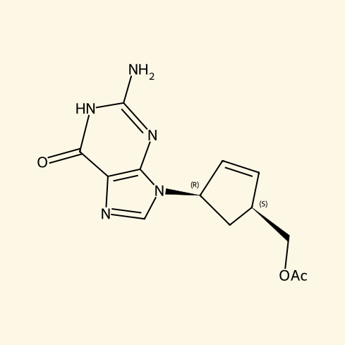 CC(=O)OC[C@@H]1C=C[C@H](n2cnc3c(=O)[nH]c(N)nc32)C1